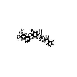 COc1cc2nccc(Oc3ccc(NC(=S)NC(=O)Cc4ccsc4)cc3F)c2cc1OC